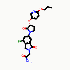 CCCOc1ccc(O[C@@H]2CCN(c3cc(F)c4c(c3)C(=O)N(CC(N)=O)C4)C2=O)cn1